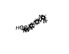 N#CC1(Cc2ccccc2Br)CCN(c2ccc(-c3nnc(CO)o3)nn2)CC1